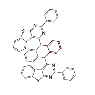 c1ccc(-c2nc(C34c5ccccc5C(c5nc(-c6ccccc6)nc6sc7ccccc7c56)(c5ccccc53)c3ccccc34)c3c(n2)sc2ccccc23)cc1